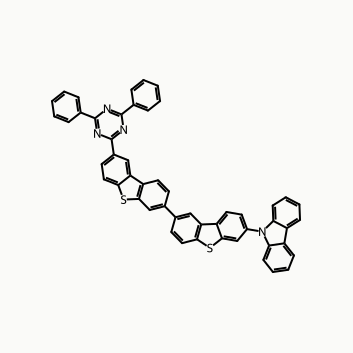 c1ccc(-c2nc(-c3ccccc3)nc(-c3ccc4sc5cc(-c6ccc7sc8cc(-n9c%10ccccc%10c%10ccccc%109)ccc8c7c6)ccc5c4c3)n2)cc1